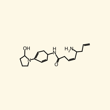 C=CCC(N)/C=C\CC(=O)NC1C=CC(N2CCCC2O)=CC1